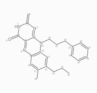 C=c1nc2c(c(=O)[nH]1)=Nc1cc(C)c(CCC)cc1N2CCCc1ccccc1